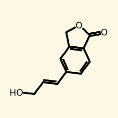 O=C1OCc2cc(C=CCO)ccc21